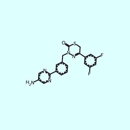 Nc1cnc(-c2cccc(CN3N=C(c4cc(F)cc(F)c4)CSC3=O)c2)nc1